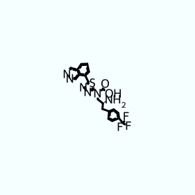 N[C@H](Cc1ccc(C(F)(F)F)cc1)CN(C(=O)O)c1nnc(-c2cccc3cnncc23)s1